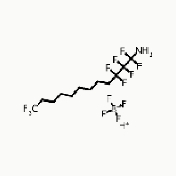 F[B-](F)(F)F.NC(F)(F)C(F)(F)C(F)(F)CCCCCCCCC(F)(F)F.[H+]